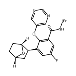 CC(C)NC(=O)c1cc(F)cc([C@H]2C[C@@H]3CC[C@H]2O3)c1Oc1cncnc1